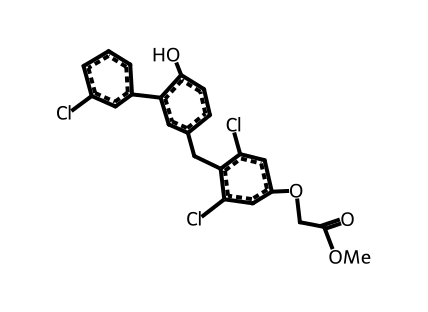 COC(=O)COc1cc(Cl)c(Cc2ccc(O)c(-c3cccc(Cl)c3)c2)c(Cl)c1